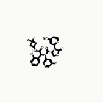 N#Cc1ccnc(N2C(=O)OC[C@H]2C(=O)N(c2cncc(F)c2)C(C(=O)NC2CC(F)(F)C2)c2ccccc2Cl)c1